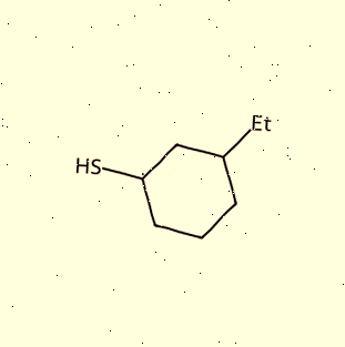 CCC1CCC[C](S)C1